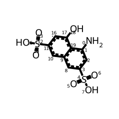 Nc1cc(S(=O)(=O)O)cc2cc(S(=O)(=O)O)[c]c(O)c12